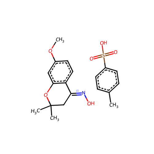 COc1ccc2c(c1)OC(C)(C)C/C2=N\O.Cc1ccc(S(=O)(=O)O)cc1